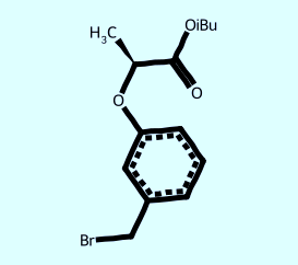 CC(C)COC(=O)[C@H](C)Oc1cccc(CBr)c1